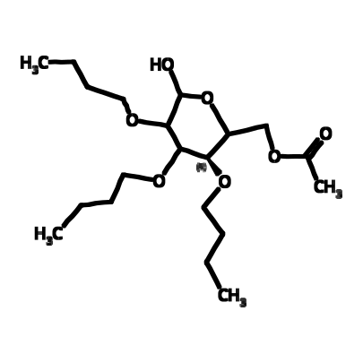 CCCCOC1C(O)OC(COC(C)=O)[C@@H](OCCCC)C1OCCCC